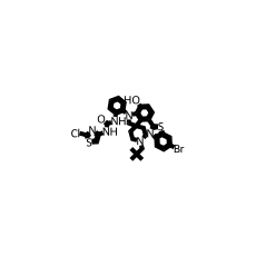 CC(C)(C)CN1CCC2(CC1)CN(c1ccccc1NC(=O)Nc1csc(Cl)n1)c1c(O)ccc(-c3nc4ccc(Br)cc4s3)c12